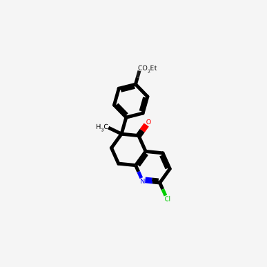 CCOC(=O)c1ccc(C2(C)CCc3nc(Cl)ccc3C2=O)cc1